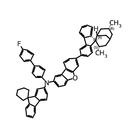 C[C@@H]1CC2C[C@@H](C1)[C@@]1(c3ccccc3-c3cc(-c4ccc5c(c4)oc4ccc(N(c6ccc(-c7ccc(F)cc7)cc6)c6ccc7c(c6)C6(CCCCC6)c6ccccc6-7)cc45)ccc31)[C@@H](C)C2